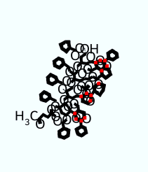 CC(=O)CCC(=O)OC1C(OCc2ccccc2)[C@@H](OC2[C@@H](OCc3ccccc3)C(COC(=O)c3ccccc3)O[C@@H](OC3C(OCc4ccccc4)[C@@H](OC4C(OC(=O)c5ccccc5)[C@H](O)OC(COC(=O)c5ccccc5)[C@@H]4OCc4ccccc4)OC(COC(=O)c4ccccc4)[C@@H]3OC(=O)c3ccccc3)[C@H]2OC(=O)c2ccccc2)OC(COC(=O)c2ccccc2)[C@@H]1OC(=O)c1ccccc1